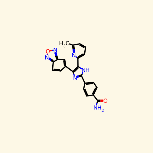 Cc1cccc(-c2[nH]c(-c3ccc(C(N)=O)cc3)nc2-c2ccc3nonc3c2)n1